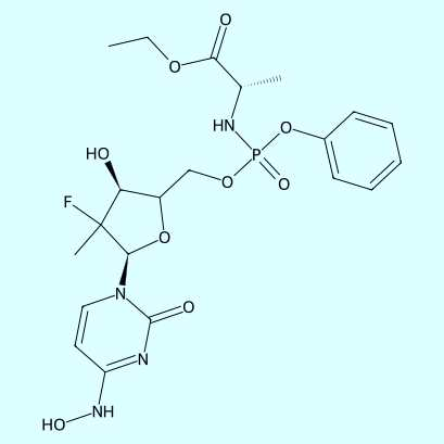 CCOC(=O)[C@H](C)NP(=O)(OCC1O[C@@H](n2ccc(NO)nc2=O)C(C)(F)[C@H]1O)Oc1ccccc1